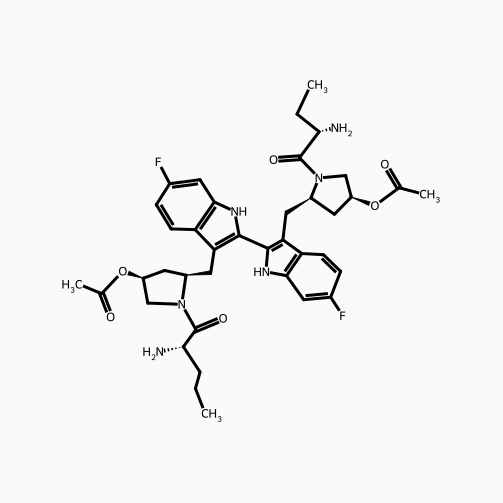 CCC[C@H](N)C(=O)N1C[C@@H](OC(C)=O)C[C@H]1Cc1c(-c2[nH]c3cc(F)ccc3c2C[C@@H]2C[C@H](OC(C)=O)CN2C(=O)[C@@H](N)CC)[nH]c2cc(F)ccc12